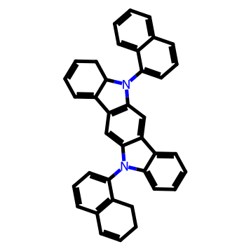 C1=CCC2C(=C1)c1cc3c(cc1N2c1cccc2ccccc12)c1ccccc1n3-c1cccc2c1CCC=C2